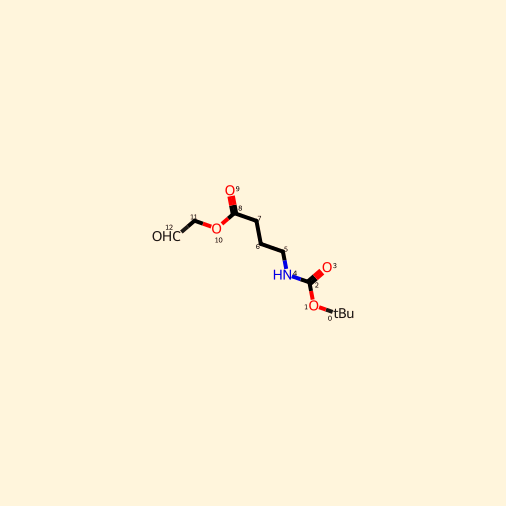 CC(C)(C)OC(=O)NCCCC(=O)OCC=O